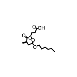 C=C(CC(=O)OCCCCCC)C(=O)OCCC(=O)O